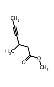 CC#CC(C)CC(=O)OC